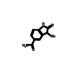 CC(C)(C)C1C(=O)Nc2ccc(C(N)=O)cc21